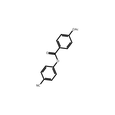 CC(=O)Oc1ccc(C(=O)Oc2ccc(C#N)cc2)cc1